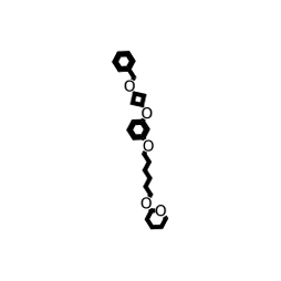 c1ccc(CO[C@H]2C[C@H](Oc3cccc(OCCCCCCOC4CCCCO4)c3)C2)cc1